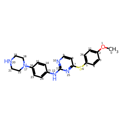 COc1ccc(Sc2ccnc(Nc3ccc(N4CCNCC4)cc3)n2)cc1